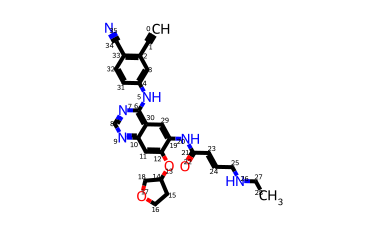 C#Cc1cc(Nc2ncnc3cc(OC4CCOC4)c(NC(=O)/C=C/CNCC)cc23)ccc1C#N